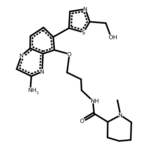 CN1CCCCC1C(=O)NCCCOc1c(-c2cnc(CO)s2)ccc2ncc(N)nc12